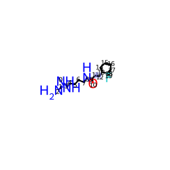 N=C(N)NCCCCNC(=O)/C=C/c1ccccc1F